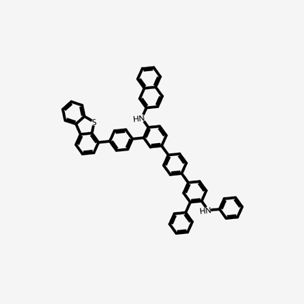 c1ccc(Nc2ccc(-c3ccc(-c4ccc(Nc5ccc6ccccc6c5)c(-c5ccc(-c6cccc7c6sc6ccccc67)cc5)c4)cc3)cc2-c2ccccc2)cc1